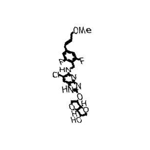 COC/C=C/c1cc(F)c(CNc2nc3nc(O[C@@H]4CO[C@H]5[C@@H]4OC[C@H]5O)[nH]c3cc2Cl)c(F)c1